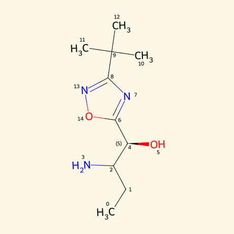 CCC(N)[C@H](O)c1nc(C(C)(C)C)no1